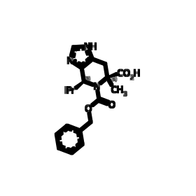 CC(C)[C@H]1c2nc[nH]c2C[C@@](C)(C(=O)O)N1C(=O)OCc1ccccc1